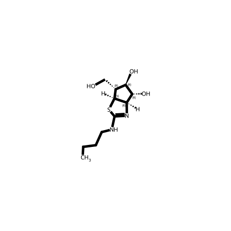 CCCCNC1=N[C@@H]2[C@@H](O)[C@H](O)[C@@H](CO)[C@@H]2S1